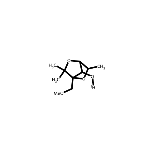 [3H]OC1C2OC(C)(C)C1(COC)OC2C